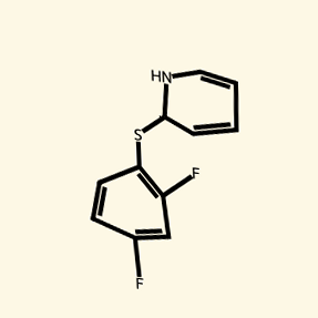 Fc1ccc(S[C]2C=CC=CN2)c(F)c1